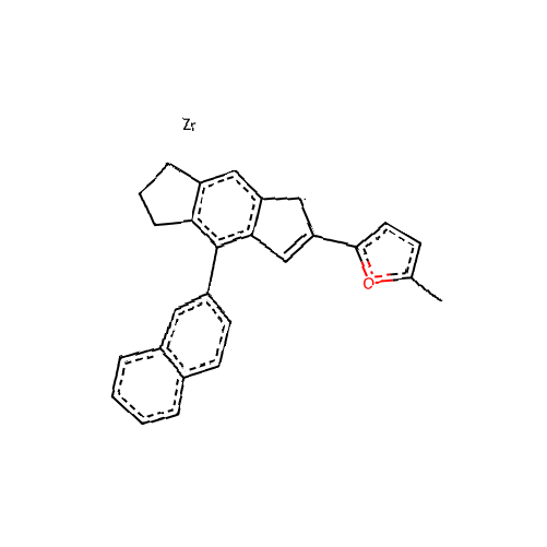 Cc1ccc(C2=Cc3c(cc4c(c3-c3ccc5ccccc5c3)CCC4)[CH]2)o1.[Zr]